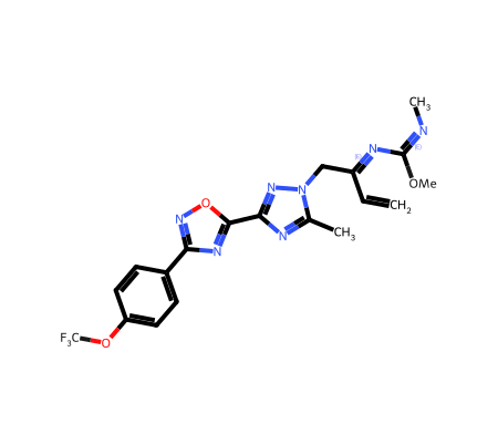 C=C/C(Cn1nc(-c2nc(-c3ccc(OC(F)(F)F)cc3)no2)nc1C)=N\C(=N/C)OC